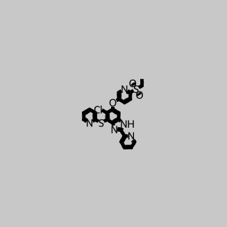 CCS(=O)(=O)c1ccc(Oc2cc3[nH]c(-c4ccccn4)nc3c(Sc3ccccn3)c2Cl)cn1